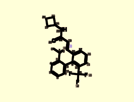 CC(C)c1ccccc1-c1c(C(F)(F)F)[c]ccc1/C=C/C(=O)NC1CCC1